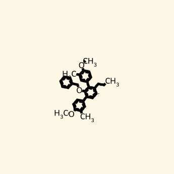 CCCc1[c]cc(-c2ccc(OC)c(C)c2)c(OCc2ccccc2)c1-c1ccc(OC)c(C)c1